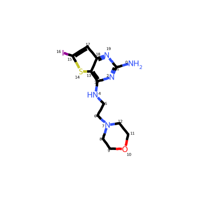 Nc1nc(NCCN2CCOCC2)c2sc(I)cc2n1